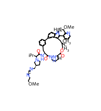 CCn1c(-c2cccnc2[C@H](C)OC)c2c3cc(ccc31)-c1cccc(c1)C[C@H](NC(=O)C(C(C)C)N1CC[C@@H](CN=C=NCCOC)C1)C(=O)N1CCC[C@H](N1)C(=O)OCC(C)(C)C2